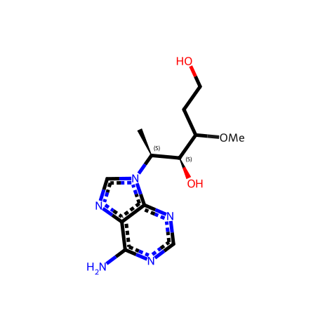 COC(CCO)[C@@H](O)[C@H](C)n1cnc2c(N)ncnc21